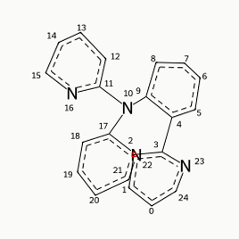 c1ccc(-c2ccccc2N(c2ccccn2)c2ccccn2)nc1